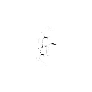 C=CN/C(=N\C(=O)OC(C)(C)C)NC(=O)OC(C)(C)C